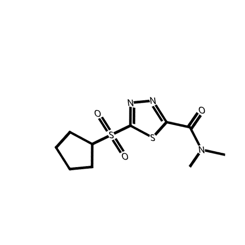 CN(C)C(=O)c1nnc(S(=O)(=O)C2CCCC2)s1